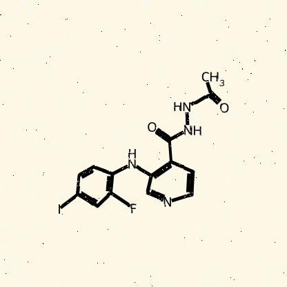 CC(=O)NNC(=O)c1ccncc1Nc1ccc(I)cc1F